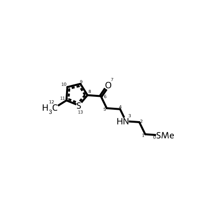 CSCCNCCC(=O)c1ccc(C)s1